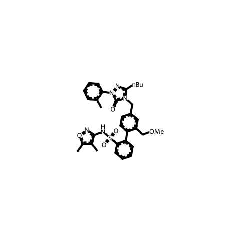 CCCCc1nn(-c2ccccc2C)c(=O)n1Cc1ccc(-c2ccccc2S(=O)(=O)Nc2noc(C)c2C)c(COC)c1